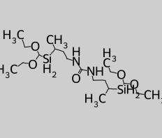 CCOC(OCC)[SiH2]C(C)CCNC(=O)NCCC(C)[SiH2]C(OCC)OCC